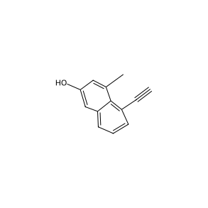 C#Cc1cccc2cc(O)cc(C)c12